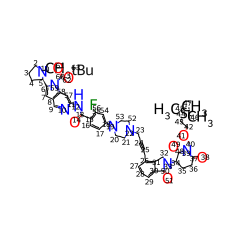 CN1CCC[C@@H]1c1cc2cnc(NC(=O)c3ccc(N4CCN(CC#Cc5cccc6c5CN(C5CCC(=O)N(COCC[Si](C)(C)C)C5=O)C6=O)CC4)cc3F)cc2n1C(=O)OC(C)(C)C